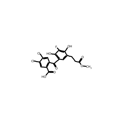 COC(=O)CCc1cc(C(=O)c2cc(Cl)c(Cl)cc2C(=O)O)c(O)c(F)c1O